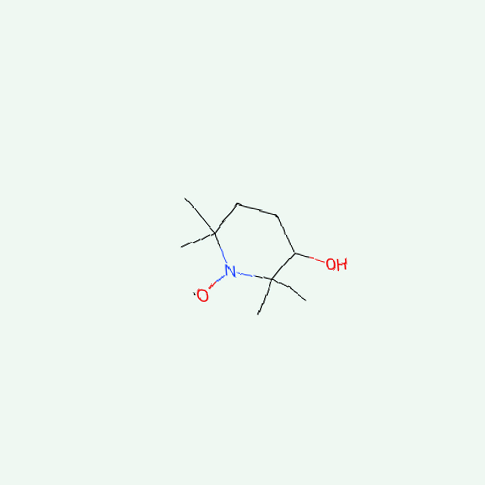 CC1(C)CCC(O)C(C)(C)N1[O]